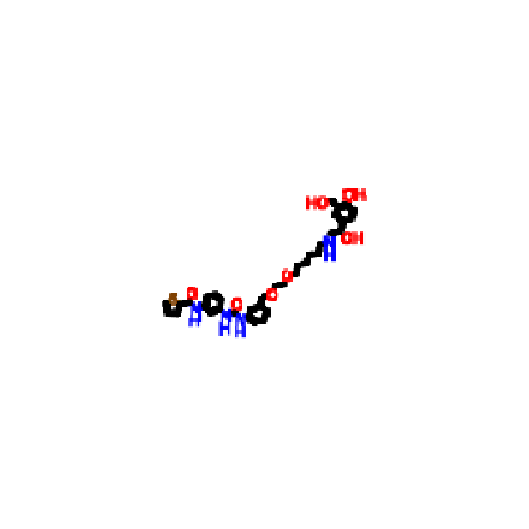 O=C(Nc1cccc(COCCOCCCCCCNC[C@@H](O)c2ccc(O)c(CO)c2)c1)Nc1cccc(NC(=O)c2cccs2)c1